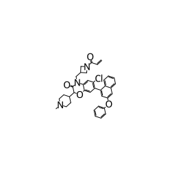 C=CC(=O)N1CC(CN2C(=O)C(C3CCN(C)CC3)Oc3cc(-c4cc(Oc5ccccc5)cc5ccccc45)c(Cl)cc32)C1